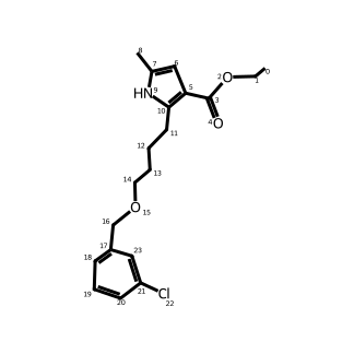 CCOC(=O)c1cc(C)[nH]c1CCCCOCc1cccc(Cl)c1